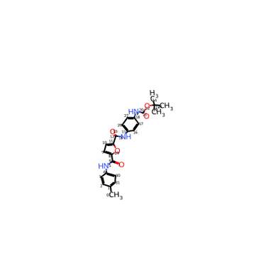 Cc1ccc(NC(=O)c2ccc(C(=O)Nc3ccc(NC(=O)OC(C)(C)C)cc3)o2)cc1